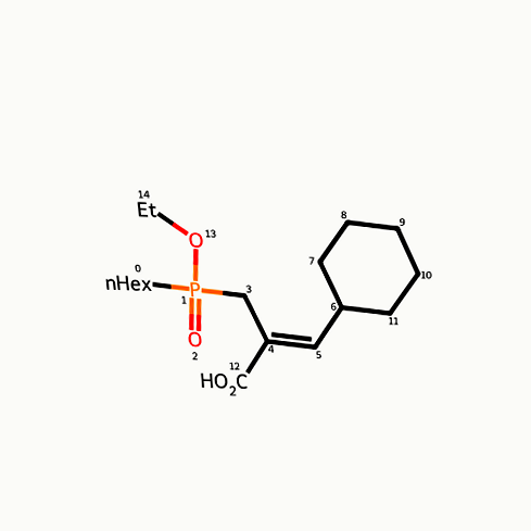 CCCCCCP(=O)(CC(=CC1CCCCC1)C(=O)O)OCC